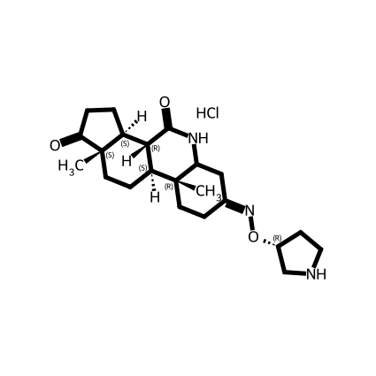 C[C@]12CCC(=NO[C@@H]3CCNC3)CC1NC(=O)[C@@H]1[C@@H]2CC[C@]2(C)C(=O)CC[C@@H]12.Cl